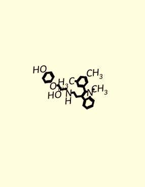 Cc1cc(C)cc(-c2c(CCNC[C@H](O)COc3ccc(O)cc3)c3ccccc3n2C)c1